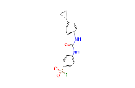 O=C(Nc1ccc(C2CC2)cc1)Nc1ccc(S(=O)(=O)F)cc1